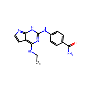 NC(=O)c1ccc(Nc2nc(NCC(F)(F)F)c3ccnc-3[nH]2)cc1